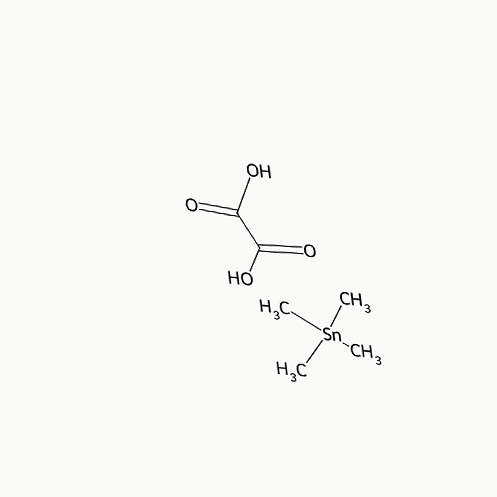 O=C(O)C(=O)O.[CH3][Sn]([CH3])([CH3])[CH3]